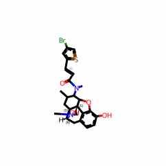 CC1C[C@@]2(O)[C@H]3Cc4ccc(O)c5c4[C@@]2(CCN3C)C(O5)C1N(C)C(=O)/C=C/c1cc(Br)cs1